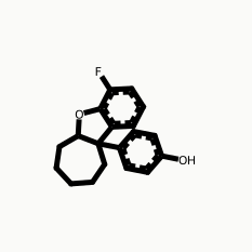 Oc1ccc(C23CCCCCC2Oc2c(F)cccc23)cc1